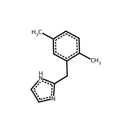 Cc1ccc(C)c(Cc2ncc[nH]2)c1